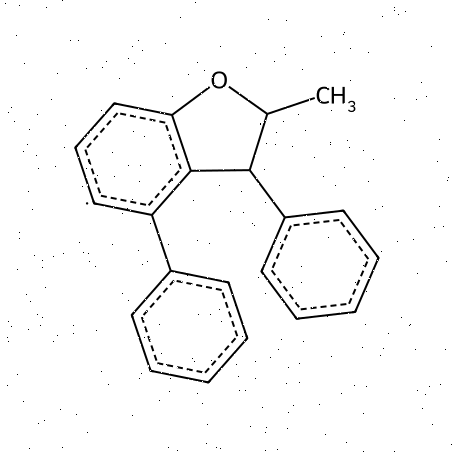 CC1Oc2cc[c]c(-c3ccccc3)c2C1c1ccccc1